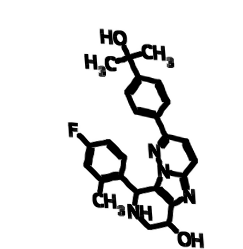 Cc1cc(F)ccc1C1NCC(O)c2nc3ccc(-c4ccc(C(C)(C)O)cc4)nn3c21